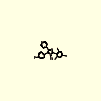 CCn1c(-c2c(C)cc(C)cc2C)nc(-c2ccncc2)c1-c1ccc(F)cc1